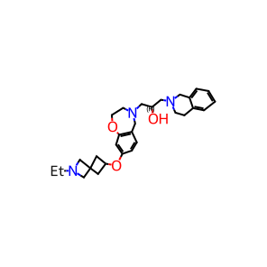 CCN1CC2(CC(Oc3ccc4c(c3)OCCN(C[C@H](O)CN3CCc5ccccc5C3)C4)C2)C1